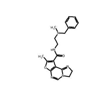 Cc1oc2c(c1C(=O)NCCN(C)Cc1ccccc1)C1=NCCN1C=N2